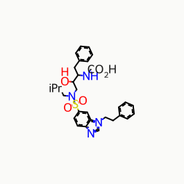 CC(C)CN(CC(O)C(Cc1ccccc1)NC(=O)O)S(=O)(=O)c1ccc2ncn(CCc3ccccc3)c2c1